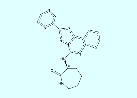 O=C1NCCCC[C@@H]1Nc1nc2ccccc2c2nc(-c3cnccn3)nn12